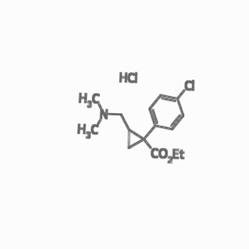 CCOC(=O)C1(c2ccc(Cl)cc2)CC1CN(C)C.Cl